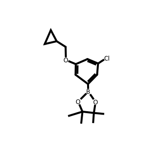 CC1(C)OB(c2cc(Cl)cc(OCC3CC3)c2)OC1(C)C